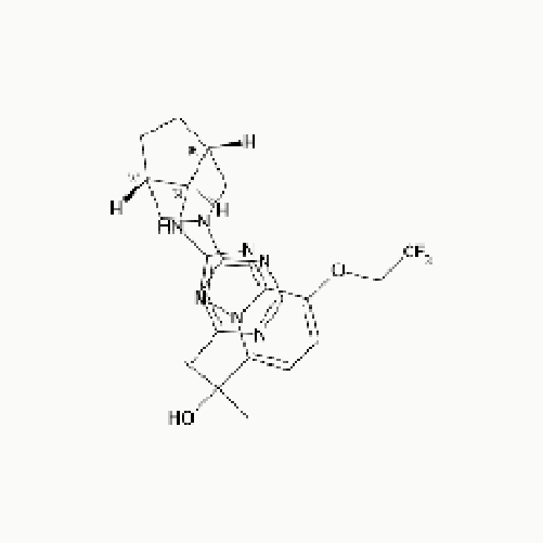 Cc1cc(N2C[C@H]3CC[C@@H](C2)[C@@H]3Nc2nc3c(OCC(F)(F)F)ccc(C(C)(C)O)n3n2)ncn1